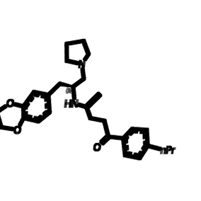 C=C(CCC(=O)c1ccc(CCC)cc1)N[C@@H](Cc1ccc2c(c1)OCCO2)CN1CCCC1